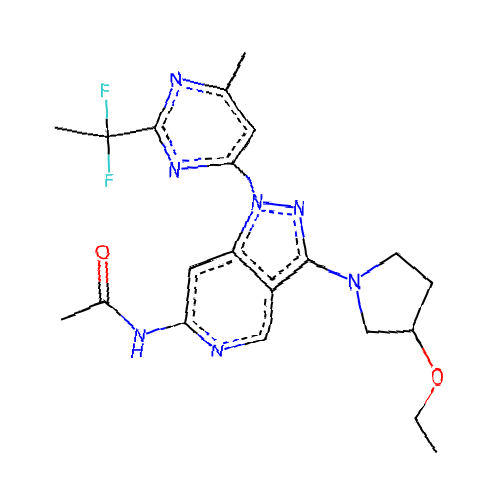 CCOC1CCN(c2nn(-c3cc(C)nc(C(C)(F)F)n3)c3cc(NC(C)=O)ncc23)C1